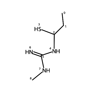 CCC(S)NC(=N)NC